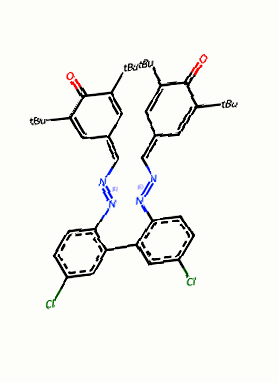 CC(C)(C)C1=CC(=C/N=N/c2ccc(Cl)cc2-c2cc(Cl)ccc2/N=N/C=C2C=C(C(C)(C)C)C(=O)C(C(C)(C)C)=C2)C=C(C(C)(C)C)C1=O